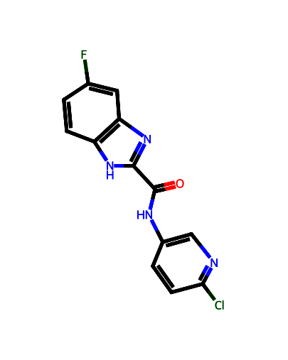 O=C(Nc1ccc(Cl)nc1)c1nc2cc(F)ccc2[nH]1